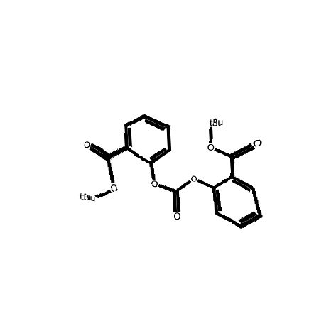 CC(C)(C)OC(=O)c1ccccc1OC(=O)Oc1ccccc1C(=O)OC(C)(C)C